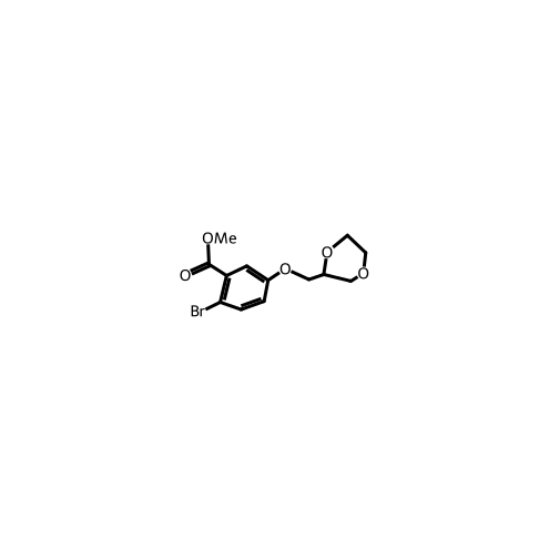 COC(=O)c1cc(OCC2COCCO2)ccc1Br